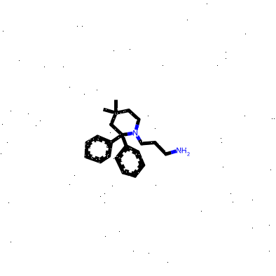 CC1(C)CCN(CCCN)C(c2ccccc2)(c2ccccc2)C1